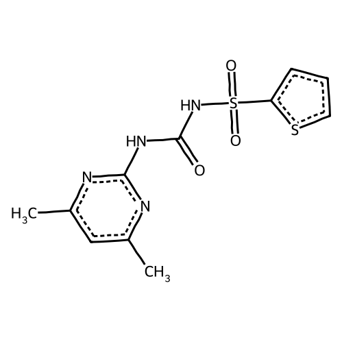 Cc1cc(C)nc(NC(=O)NS(=O)(=O)c2cccs2)n1